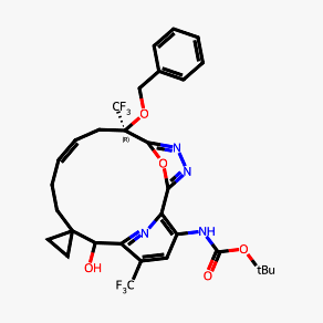 CC(C)(C)OC(=O)Nc1cc(C(F)(F)F)c2nc1-c1nnc(o1)[C@@](OCc1ccccc1)(C(F)(F)F)CC=CCCC1(CC1)C2O